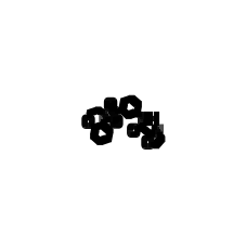 O=C(Nc1cccc(S(=O)(=O)N2CCOc3ccccc32)c1)c1ncco1